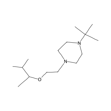 CC(C)C(C)OCCN1CCN(C(C)(C)C)CC1